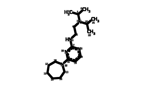 CC(C)N(CCNc1nccc(N2CCCCCC2)n1)C(C)C